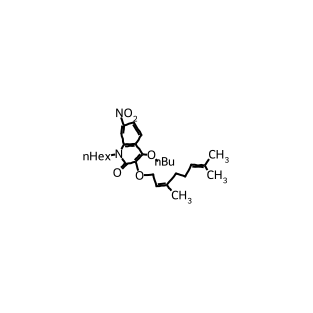 CCCCCCn1c(=O)c(OCC=C(C)CCC=C(C)C)c(OCCCC)c2ccc([N+](=O)[O-])cc21